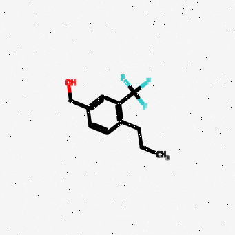 CCCc1ccc([CH]O)cc1C(F)(F)F